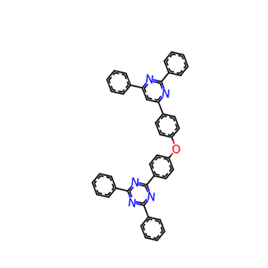 c1ccc(-c2cc(-c3ccc(Oc4ccc(-c5nc(-c6ccccc6)nc(-c6ccccc6)n5)cc4)cc3)nc(-c3ccccc3)n2)cc1